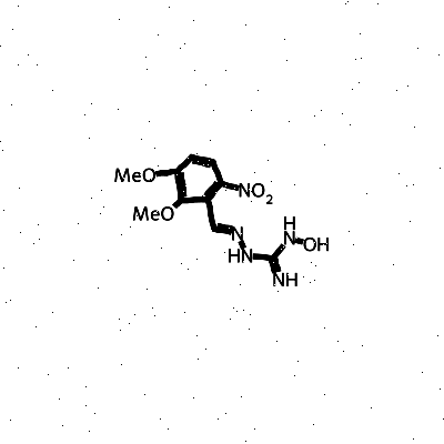 COc1ccc([N+](=O)[O-])c(/C=N/NC(=N)NO)c1OC